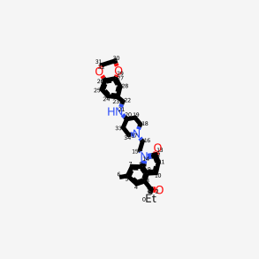 CCC(=O)c1cc(C)cc2c1ccc(=O)n2CCN1CCC(NCc2ccc3c(c2)OCCO3)CC1